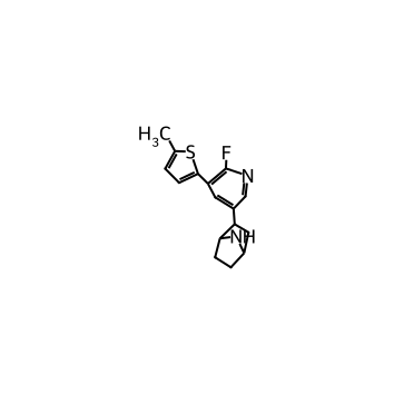 Cc1ccc(-c2cc(C3CC4CCC3N4)cnc2F)s1